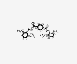 Cc1cccc(C)c1COC(=O)c1ccc(C(=O)OCc2c(C)cccc2C)cc1